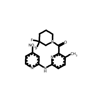 Cc1ccc(Nc2cc([N+](=O)[O-])ccn2)nc1C(=O)N1CCCC(F)(F)C1